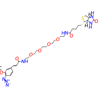 COc1cc(/C=C/C(=O)NCCOCCOCCOCCOCCNC(=O)CCCC[C@@H]2SC[C@@H]3NC(=O)N[C@@H]32)ccc1N=[N+]=[N-]